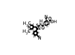 Cc1cc(-c2sc(NC(=O)N3CCN(C(=O)O)[C@H](C#N)C3)nc2-c2cccc(C#N)c2)cc(C)n1